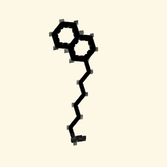 [CH2]OCCCCCCc1ccc2ccccc2c1